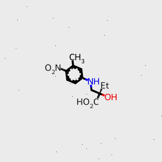 CC[C@](O)(CNc1ccc([N+](=O)[O-])c(C)c1)C(=O)O